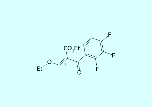 CCO/C=C(\C(=O)OCC)C(=O)c1ccc(F)c(F)c1F